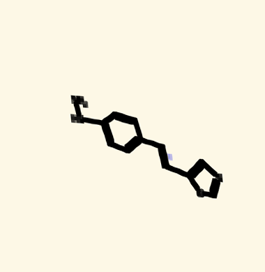 NNc1ccc(/C=C/c2cnco2)cc1